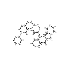 c1ccc(-c2ccc3ccc4ccc(-c5c6ccccc6nc6sc7ccccc7c56)nc4c3n2)cc1